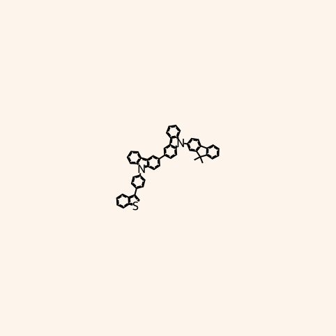 CC1(C)c2ccccc2-c2ccc(-n3c4ccccc4c4cc(-c5ccc6c(c5)c5ccccc5n6-c5ccc(-c6csc7ccccc67)cc5)ccc43)cc21